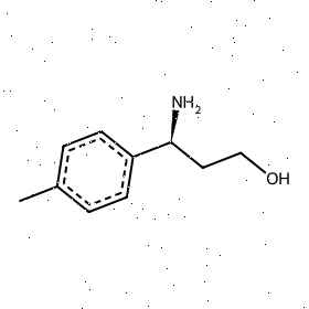 Cc1ccc([C@@H](N)CCO)cc1